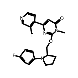 Cn1c(OCC2CCCN2c2ccc(F)cc2)nc(-c2ccncc2F)cc1=O